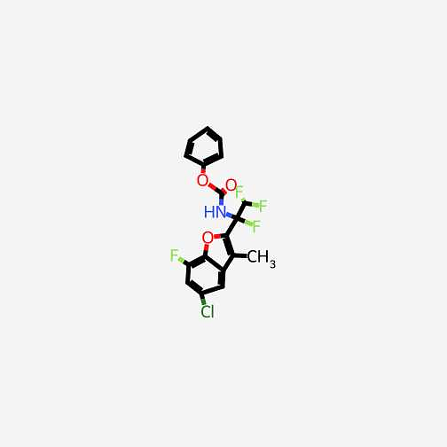 Cc1c(C(F)(NC(=O)Oc2ccccc2)C(F)F)oc2c(F)cc(Cl)cc12